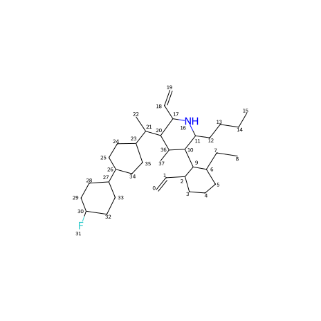 C=CC1CCCC(CC)C1C1C(CCCC)NC(C=C)C(C(C)C2CCC(C3CCC(F)CC3)CC2)C1C